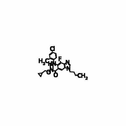 C=CCCn1cnc2c(F)c(Nc3ccc(Cl)cc3C)c(C(=O)NOCC3CC3)cc21